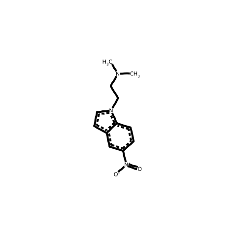 CN(C)CCn1ccc2cc([N+](=O)[O-])ccc21